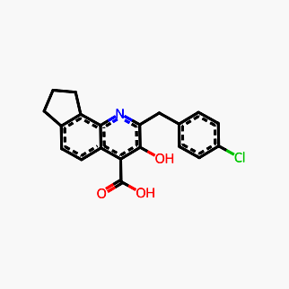 O=C(O)c1c(O)c(Cc2ccc(Cl)cc2)nc2c3c(ccc12)CCC3